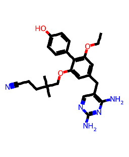 CCOc1cc(Cc2cnc(N)nc2N)cc(OCC(C)(C)CCC#N)c1-c1ccc(O)cc1